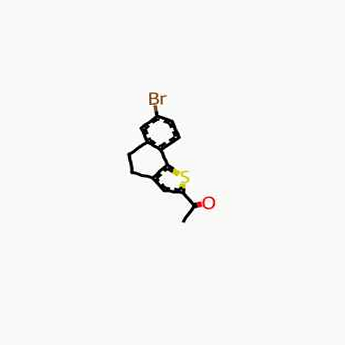 CC(=O)c1cc2c(s1)-c1ccc(Br)cc1CC2